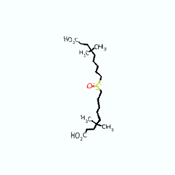 CC(C)(CCCCC[S+]([O-])CCCCCC(C)(C)CCC(=O)O)CCC(=O)O